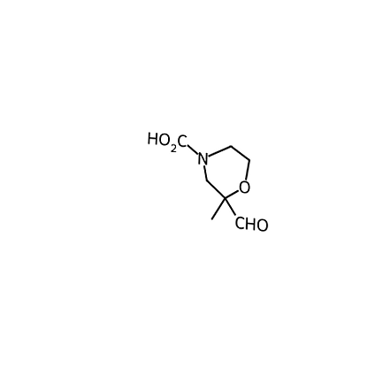 CC1(C=O)CN(C(=O)O)CCO1